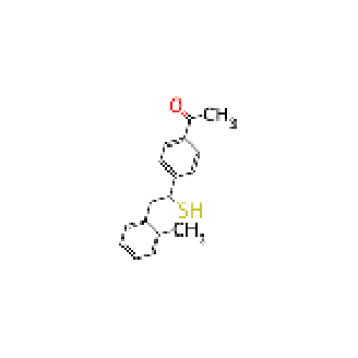 CC(=O)c1ccc(C(S)Cc2ccccc2C)cc1